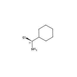 C[CH][C@H](N)C1CCCCC1